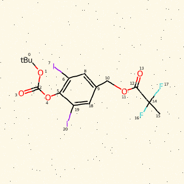 CC(C)(C)OC(=O)Oc1c(I)cc(COC(=O)C(C)(F)F)cc1I